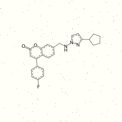 O=c1cc(-c2ccc(F)cc2)c2ccc(CNn3ccc(C4CCCC4)n3)cc2o1